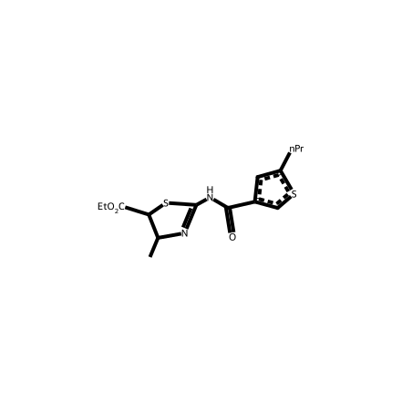 CCCc1cc(C(=O)NC2=NC(C)C(C(=O)OCC)S2)cs1